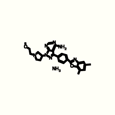 COCCN1CCC(n2nc(-c3ccc(-c4nc5cc(C)cc(C)c5o4)cc3)c3c(N)ncnc32)C1.N